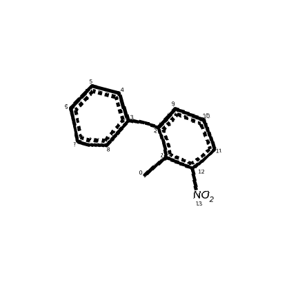 Cc1c(-c2c[c]ccc2)cccc1[N+](=O)[O-]